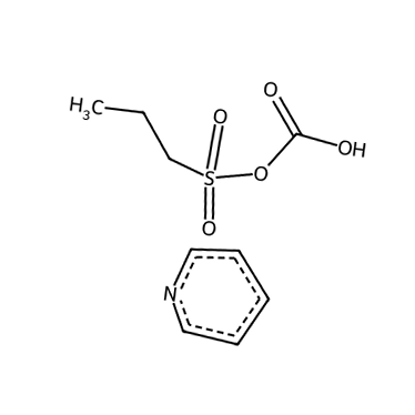 CCCS(=O)(=O)OC(=O)O.c1ccncc1